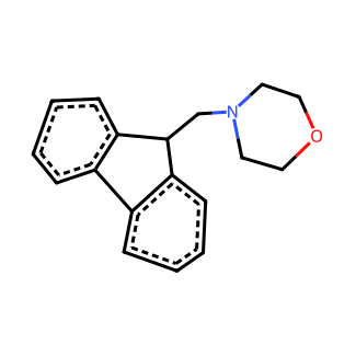 c1ccc2c(c1)-c1ccccc1C2CN1CCOCC1